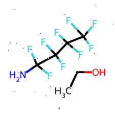 CCO.NC(F)(F)C(F)(F)C(F)(F)C(F)(F)F